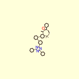 C=C1c2cc(-c3ccccc3-c3cccc(-c4nc(-c5ccccc5)nc(-c5ccccc5)n4)c3)ccc2C(C)(C)C/C=C\c2c1oc1ccccc21